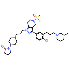 CC1CCCN(CCCc2cc(-c3nn(CCCN4CCC(N5CCCC5=O)CC4)c4c3CN(S(C)(=O)=O)CC4)ccc2Cl)C1